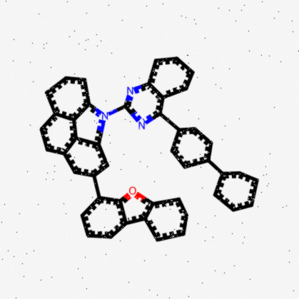 c1ccc(-c2ccc(-c3nc(-n4c5cccc6ccc7cc(-c8cccc9c8oc8ccccc89)cc4c7c65)nc4ccccc34)cc2)cc1